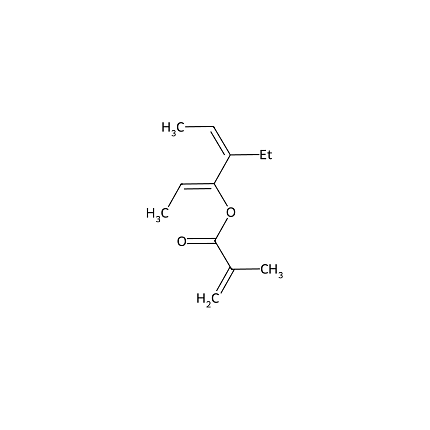 C=C(C)C(=O)OC(=CC)C(=CC)CC